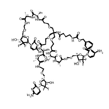 CC(C)[C@H](NC(=O)CCOCC(COCCC(=O)N[C@H](C(=O)N[C@@H](C)C(=O)NCOC[C@H]1O[C@@H](n2ccc(N)nc2=O)C(F)(F)[C@@H]1O)C(C)C)(COCCC(=O)N[C@H](C(=O)N[C@@H](C)C(=O)NCOC[C@H]1O[C@@H](n2ccc(N)nc2=O)C(F)(F)[C@@H]1O)C(C)C)NC(=O)CCCNC(=O)OCc1ccccc1)C(=O)N[C@@H](C)C(=O)NCOC[C@H]1O[C@@H](n2ccc(N)nc2=O)C(F)(F)[C@@H]1O